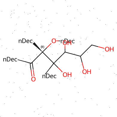 CCCCCCCCCCO[C@@](CCCCCCCCCC)(C(=O)CCCCCCCCCC)C(O)(CCCCCCCCCC)C(O)C(O)CO